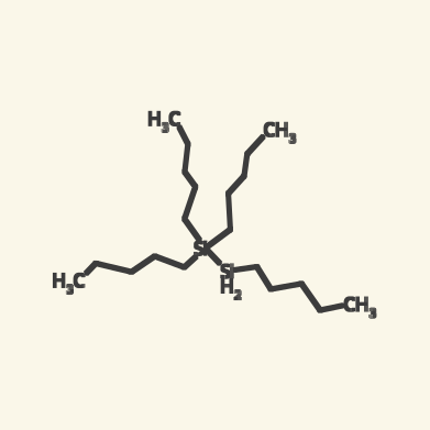 CCCCC[SiH2][Si](CCCCC)(CCCCC)CCCCC